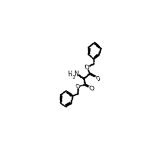 NC(C(=O)OCc1ccccc1)C(=O)OCc1ccccc1